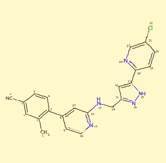 Cc1cc(C#N)ccc1-c1ccnc(NCc2cc(-c3ccc(Cl)cn3)[nH]n2)c1